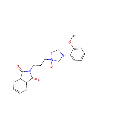 CC(C)Oc1ccccc1N1CC[N+]([O-])(CCCN2C(=O)C3CC=CCC3C2=O)C1